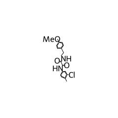 COc1ccc(CCNC(=O)C(=O)Nc2ccc(C)c(Cl)c2)cc1